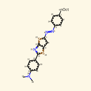 CCCCCCCCc1ccc(N=Nc2cc3sc(-c4ccc(N(C)C)cc4)nc3s2)cc1